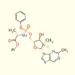 Cc1ncc2ncn([C@@H]3O[C@H](COP(=O)(N[C@@H](C)C(=O)OC(C)C)Oc4ccccc4)[C@@H](O)[C@@]3(C)F)c2n1